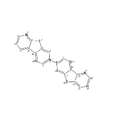 c1cnc2sc3c[n+](-c4cnc5c(c4)sc4cncnc45)cnc3c2c1